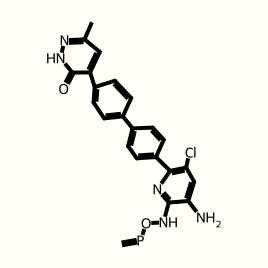 C=PONc1nc(-c2ccc(-c3ccc(-c4cc(C)n[nH]c4=O)cc3)cc2)c(Cl)cc1N